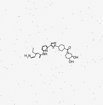 C=C(/C=C(\C=C/N)CI)Nc1cccc(-c2cnc(C3CCC(C(=O)N4CC[C@H](O)[C@H](O)C4)CC3)s2)n1